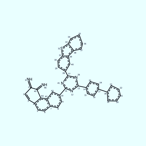 N=C1C=Cc2ccc3ccc(-c4nc(-c5ccc(-c6ccccc6)cc5)nc(-c5ccc6sc7ccccc7c6c5)n4)cc3c2C1=N